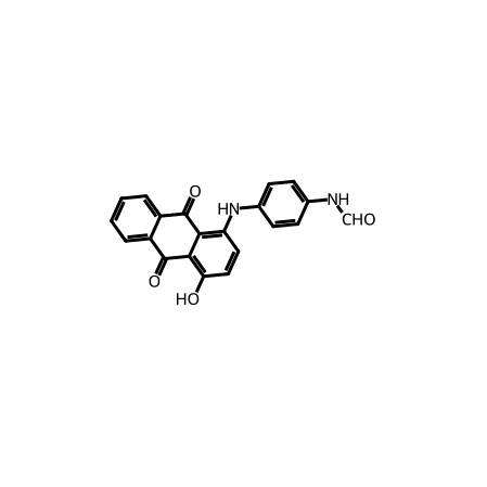 O=CNc1ccc(Nc2ccc(O)c3c2C(=O)c2ccccc2C3=O)cc1